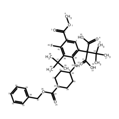 COC(=O)c1cc(C(C(=O)O)(C(=O)O)C(C)(C)C)c(NC2CCN(C(=O)OCc3ccccc3)CC2)c(C(C)(C)C)c1F